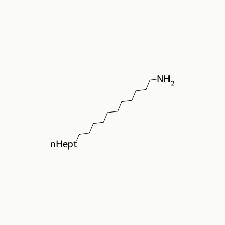 CCC[CH]CCCCCCCCCCCCCCN